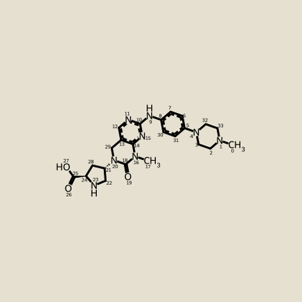 CN1CCN(c2ccc(Nc3ncc4c(n3)N(C)C(=O)N([C@@H]3CN[C@@H](C(=O)O)C3)C4)cc2)CC1